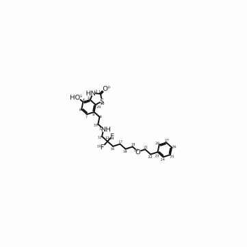 O=c1[nH]c2c(O)ccc(CCNCC(F)(F)CCCCOCCc3ccccc3)c2s1